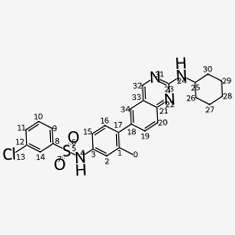 Cc1cc(NS(=O)(=O)c2cccc(Cl)c2)ccc1-c1ccc2nc(NC3CCCCC3)ncc2c1